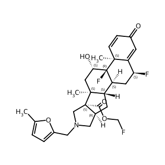 Cc1ccc(CN2C[C@@H]3C[C@H]4[C@@H]5C[C@H](F)C6=CC(=O)C=C[C@]6(C)[C@@]5(F)[C@@H](O)C[C@]4(C)[C@]3(C(=O)OCF)C2)o1